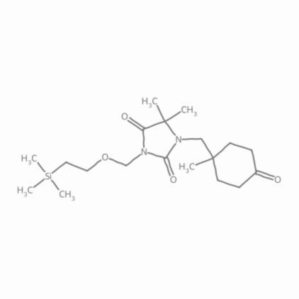 CC1(CN2C(=O)N(COCC[Si](C)(C)C)C(=O)C2(C)C)CCC(=O)CC1